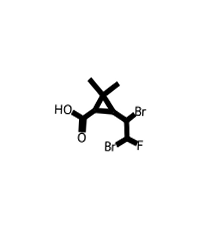 CC1(C)C(C(=O)O)C1C(Br)C(F)Br